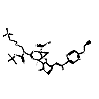 C#CCOc1cnc(/C(F)=C/c2ccc(F)c([C@@]3(C)N=C(N(COCC[Si](C)(C)C)C(=O)OC(C)(C)C)S[C@@]4(C(=O)O)C[C@H]43)c2)cn1